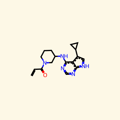 C=CC(=O)N1CCCC(Nc2ncnc3[nH]cc(C4CC4)c23)C1